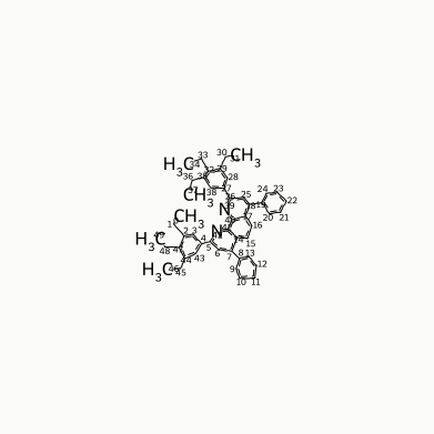 CCc1cc(-c2cc(-c3ccccc3)c3ccc4c(-c5ccccc5)cc(-c5cc(CC)c(CC)c(CC)c5)nc4c3n2)cc(CC)c1CC